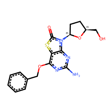 Nc1nc(OCc2ccccc2)c2sc(=O)n([C@H]3CC[C@@H](CO)O3)c2n1